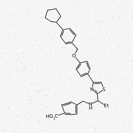 CCC(NCc1ccc(C(=O)O)cc1)c1nc(-c2ccc(OCc3ccc(C4CCCCC4)cc3)cc2)cs1